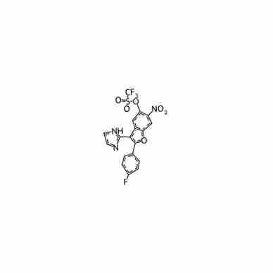 O=[N+]([O-])c1cc2oc(-c3ccc(F)cc3)c(-c3ncc[nH]3)c2cc1OS(=O)(=O)C(F)(F)F